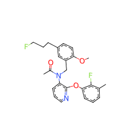 COc1ccc(CCCF)cc1CN(C(C)=O)c1cccnc1Oc1cccc(C)c1F